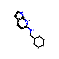 c1cc2ccc(NCC3CCCCC3)nc2[nH]1